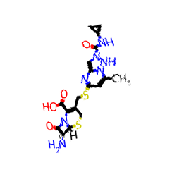 CC1=CC(SCC2=C(C(=O)O)N3C(=O)[C@@H](N)[C@H]3SC2)=NC2=CN(C(=O)NC3CC3)NN12